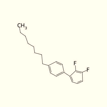 CCCCCCCCc1ccc(-c2cccc(F)c2F)cc1